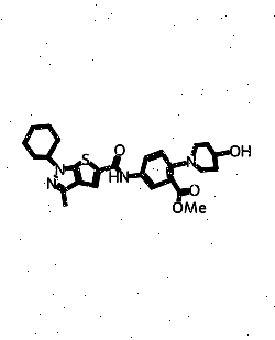 COC(=O)c1cc(NC(=O)c2cc3c(C)nn(C4CCCCC4)c3s2)ccc1N1CCC(O)CC1